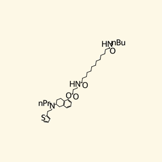 CCCCNC(=O)CCCCCCCCCCCC(=O)NCCC(=O)Oc1cccc2c1CCC(N(CCC)CCc1cccs1)C2